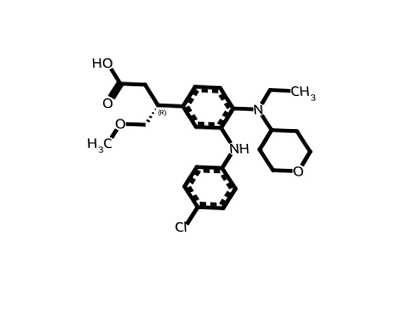 CCN(c1ccc([C@H](COC)CC(=O)O)cc1Nc1ccc(Cl)cc1)C1CCOCC1